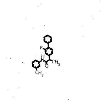 Cc1cccc(NC(=O)C(C)c2ccc(-c3ccccc3)c(F)c2)c1